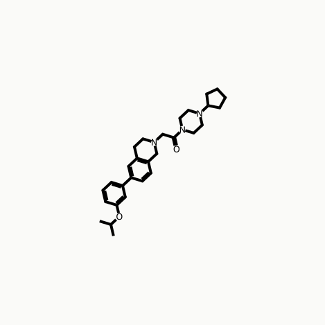 CC(C)Oc1cccc(-c2ccc3c(c2)CCN(CC(=O)N2CCN(C4CCCC4)CC2)C3)c1